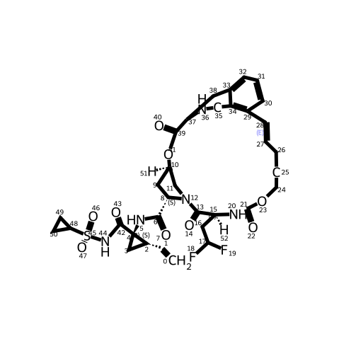 C=C[C@@H]1C[C@]1(NC(=O)[C@@H]1C[C@@H]2CN1C(=O)[C@H](CC(F)F)NC(=O)OCCC/C=C/c1cccc3c1CNC(C3)C(=O)O2)C(=O)NS(=O)(=O)C1CC1